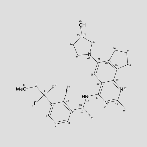 COCC(F)(F)c1cccc([C@@H](C)Nc2nc(C)nc3c4c(c(N5CC[C@H](O)C5)cc23)CCC4)c1F